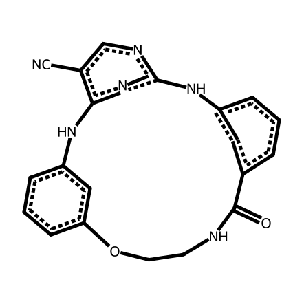 N#Cc1cnc2nc1Nc1cccc(c1)OCCNC(=O)c1cccc(c1)N2